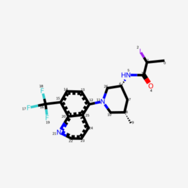 CC(I)C(=O)N[C@@H]1C[C@H](C)CN(c2ccc(C(F)(F)F)c3ncccc23)C1